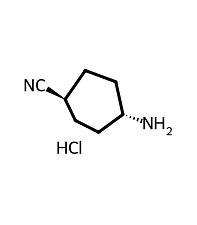 Cl.N#C[C@H]1CC[C@H](N)CC1